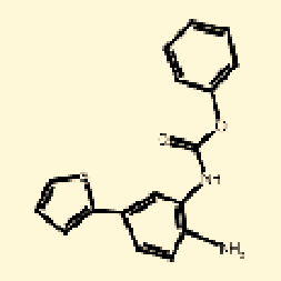 Nc1ccc(-c2cccs2)cc1NC(=O)Oc1ccccc1